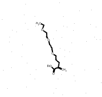 C=C(CCCOCCOCCOCC)C(=O)O